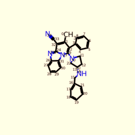 Cc1c(-c2ccccc2)c(N2CC[C@H](NCc3ccccc3)C2)n2c(nc3ccccc32)c1C#N